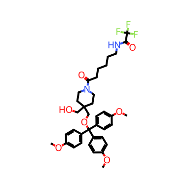 COc1ccc(C(OCC2(CO)CCN(C(=O)CCCCCNC(=O)C(F)(F)F)CC2)(c2ccc(OC)cc2)c2ccc(OC)cc2)cc1